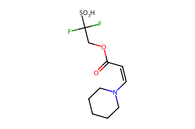 O=C(/C=C\N1CCCCC1)OCC(F)(F)S(=O)(=O)O